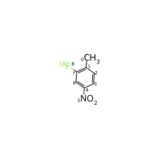 Cc1ccc([N+](=O)[O-])cc1[18F]